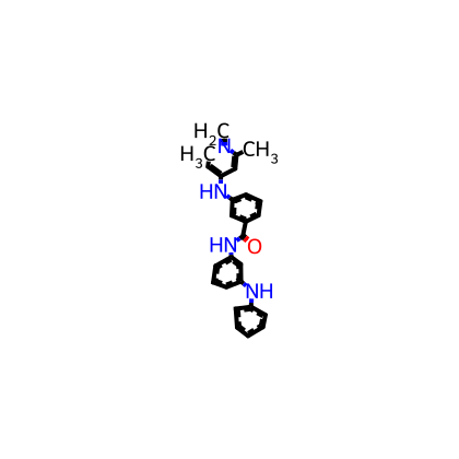 C=N/C(C)=C\C(=C/C)Nc1cccc(C(=O)Nc2cccc(Nc3ccccc3)c2)c1